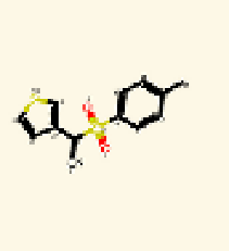 Cc1ccc(S(=O)(=O)C(C#N)c2ccsc2)cc1